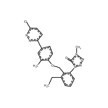 CCc1cccc(-n2nnn(C)c2=O)c1COc1ccc(-c2ccc(Cl)nn2)cc1C